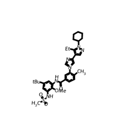 CCc1c(-c2cn(-c3cc(C(=O)Nc4cc(C(C)(C)C)cc(NS(C)(=O)=O)c4OC)ccc3C)cn2)cnn1C1CCCCC1